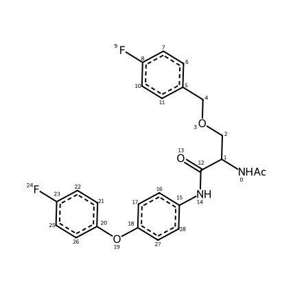 CC(=O)NC(COCc1ccc(F)cc1)C(=O)Nc1ccc(Oc2ccc(F)cc2)cc1